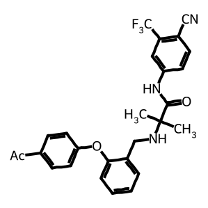 CC(=O)c1ccc(Oc2ccccc2CNC(C)(C)C(=O)Nc2ccc(C#N)c(C(F)(F)F)c2)cc1